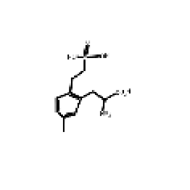 Cc1ccc(CCP(=O)(O)O)c(CC(N)C(=O)O)c1